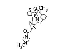 CN1CCN(C(=O)CC2CN=C(C3Cc4cccc(N(C)S(=O)(=O)c5cccs5)c4N3)S2)CC1